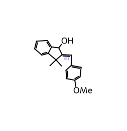 COc1ccc(/C=C2/C(O)c3ccccc3C2(C)C)cc1